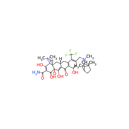 CN(C)[C@@H]1C(O)=C(C(N)=O)C(=O)[C@@]2(O)C(O)=C3C(=O)c4c(O)cc(CN(C)[C@H]5CC6CCC5(C)C6(C)C)c(C(F)(F)F)c4C[C@H]3C[C@@H]12